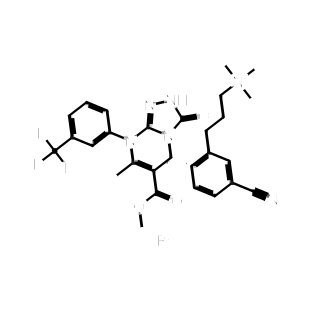 COC(=O)C1=C(C)N(c2cccc(C(F)(F)F)c2)c2n[nH]c(=O)n2[C@@H]1c1ccc(C#N)cc1CCC[N+](C)(C)C.[Br-]